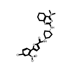 CN(C)c1nc(N[C@H]2CC[C@@H](NC(=O)c3ccc(-c4ccc(Cl)cc4[N+](=O)[O-])o3)CC2)nc2c1CCCC2